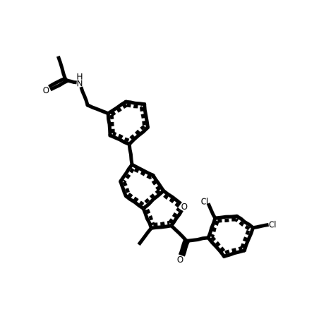 CC(=O)NCc1cccc(-c2ccc3c(C)c(C(=O)c4ccc(Cl)cc4Cl)oc3c2)c1